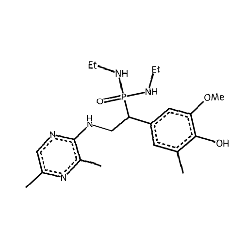 CCNP(=O)(NCC)C(CNc1ncc(C)nc1C)c1cc(C)c(O)c(OC)c1